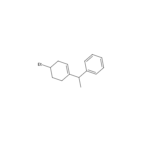 CCC1CC=C(C(C)c2ccccc2)CC1